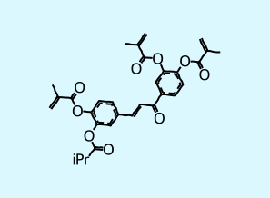 C=C(C)C(=O)Oc1ccc(C(=O)/C=C/c2ccc(OC(=O)C(=C)C)c(OC(=O)C(C)C)c2)cc1OC(=O)C(=C)C